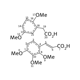 COc1ccc(C=CC(=O)O)c(OC)c1OC.COc1ccc(OC)c(CC(=O)O)c1